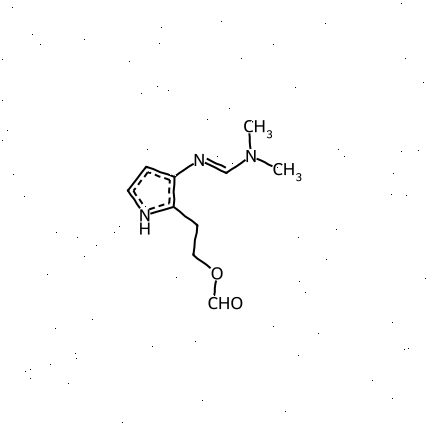 CN(C)C=Nc1cc[nH]c1CCOC=O